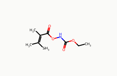 CCOC(=O)NOC(=O)C(C)=C(C)[SiH3]